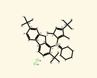 CC1=[C]([Zr+2](=[C]2CCCCC2)[c]2c(C(C)(C)C)ccc3c2Cc2cc(C(C)(C)C)ccc2-3)C(C)C=C1C(C)(C)C.[Cl-].[Cl-]